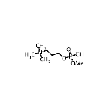 COP(=O)(O)OCCC[N+](C)(C)C